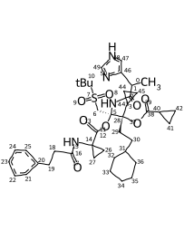 CC(C(=O)N[C@](CS(=O)(=O)C(C)(C)C)(OC(=O)C1(NC(=O)CCc2ccccc2)CC1)[C@@](CCC1CCCCC1)(OC(=O)C1CC1)C1CC1)c1c[nH]cn1